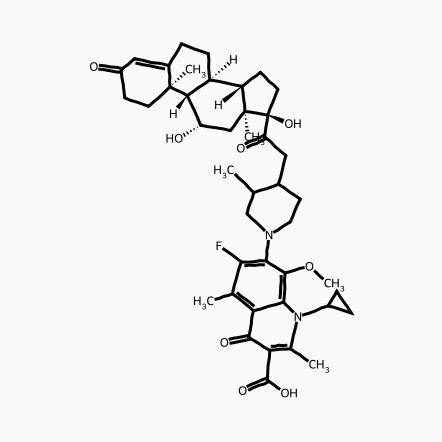 COc1c(N2CCC(CC(=O)[C@@]3(O)CC[C@H]4[C@@H]5CCC6=CC(=O)CC[C@]6(C)[C@H]5[C@@H](O)C[C@@]43C)C(C)C2)c(F)c(C)c2c(=O)c(C(=O)O)c(C)n(C3CC3)c12